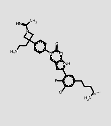 C[C@H](N)CCCc1cc(Cl)c(F)c(-c2cc3cn(-c4ccc(C5(CCN)CN(C(=N)N)C5)cc4)c(=O)nc3[nH]2)c1